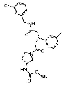 Cc1cccc(N(CC(=O)NCc2cccc(Cl)c2)CC(=O)N2CCC(NC(=O)OC(C)(C)C)C2)c1